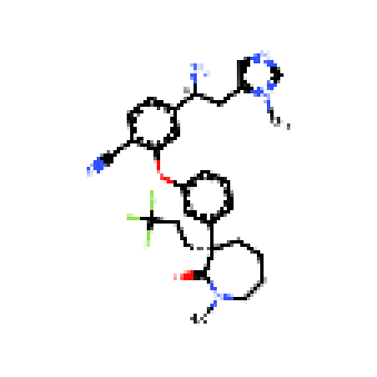 CN1CCCC[C@](CCC(F)(F)F)(c2cccc(Oc3cc([C@@H](N)Cc4cncn4C)ccc3C#N)c2)C1=O